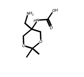 CC1(C)OCC(CN)(NC(=O)O)CO1